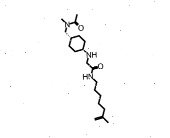 C=C(C)CCCCCNC(=O)CN[C@H]1CC[C@H](CN(C)C(C)=O)CC1